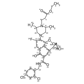 CCOC(=O)CCN1C(C)CN(c2c(F)cc3c(=O)c(C(=O)NCc4ccc(Cl)cc4Cl)cn(C4CC4)c3c2OC)CC1C.Cl